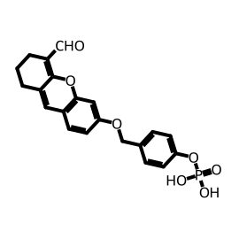 O=CC1=C2Oc3cc(OCc4ccc(OP(=O)(O)O)cc4)ccc3C=C2CCC1